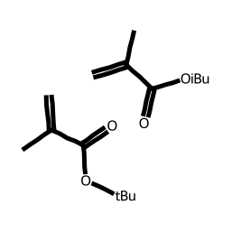 C=C(C)C(=O)OC(C)(C)C.C=C(C)C(=O)OCC(C)C